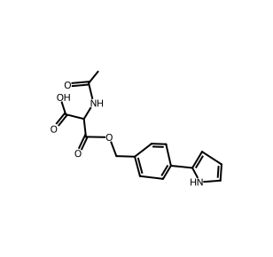 CC(=O)NC(C(=O)O)C(=O)OCc1ccc(-c2ccc[nH]2)cc1